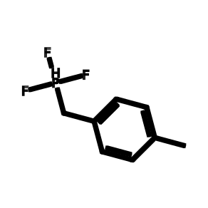 Cc1ccc(C[PH](F)(F)F)cc1